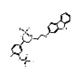 CC[Si](CC)(CC)OC(CNCCOc1ccc2c(c1)[nH]c1ccccc12)c1ccc(F)c(NS(C)(=O)=O)c1